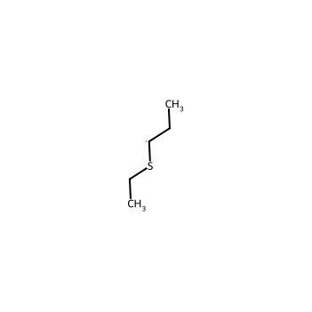 CC[CH]SCC